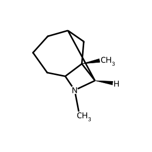 CN1C2CCCC3C[C@]2(C)[C@H]31